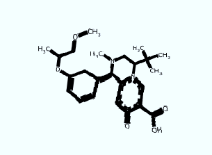 COCC(C)OC1=CC=C/C(=C2\c3cc(=O)c(C(=O)O)cn3C(C(C)(C)C)CN2C)C1